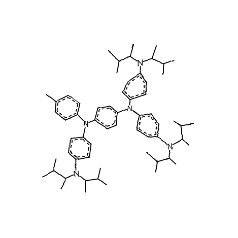 Cc1ccc(N(c2ccc(N(c3ccc(N(C(C)C(C)C)C(C)C(C)C)cc3)c3ccc(N(C(C)C(C)C)C(C)C(C)C)cc3)cc2)c2ccc(N(C(C)C(C)C)C(C)C(C)C)cc2)cc1